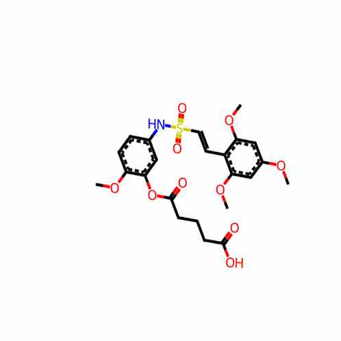 COc1cc(OC)c(/C=C/S(=O)(=O)Nc2ccc(OC)c(OC(=O)CCCC(=O)O)c2)c(OC)c1